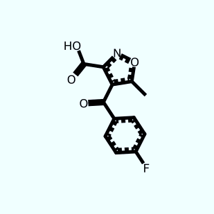 Cc1onc(C(=O)O)c1C(=O)c1ccc(F)cc1